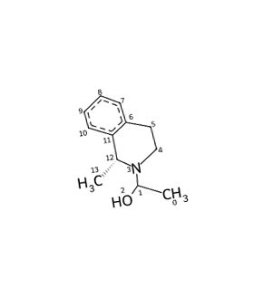 CC(O)N1CCc2ccccc2[C@H]1C